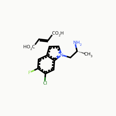 C[C@@H](N)Cn1ccc2cc(F)c(Cl)cc21.O=C(O)/C=C/C(=O)O